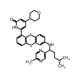 Cc1cnc(C(CCN(C)C)Nc2ccc3c(c2)Sc2cccc(-c4cc(N5CCOCC5)cc(=O)[nH]4)c2S3)cn1